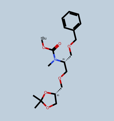 CN(C(=O)OC(C)(C)C)[C@H](COCc1ccccc1)COC[C@@H]1COC(C)(C)O1